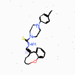 Cc1ccc(N2CCN(C(=S)N/C=C3/CCCOc4ccccc43)CC2)cc1